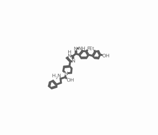 CCc1cc(O)ccc1-c1ccc2c(-c3nc(C4=CCN(C(O)[C@@H](N)Cc5ccccc5)CC4)c[nH]3)n[nH]c2c1F